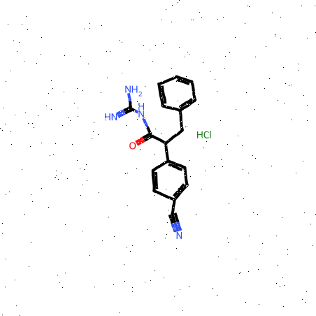 Cl.N#Cc1ccc(C(Cc2ccccc2)C(=O)NC(=N)N)cc1